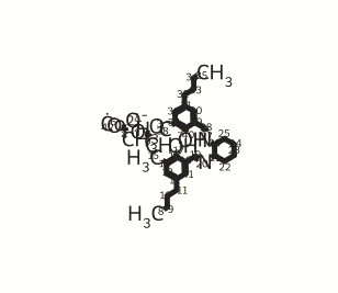 CC(=O)[O-].CC(=O)[O-].CCCCc1cc(C)c(O)c(C=NC2CCCCC2N=Cc2cc(CCCC)cc(C)c2O)c1.[Co+2]